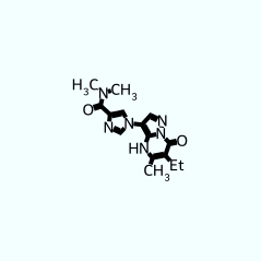 CCc1c(C)[nH]c2c(-n3cnc(C(=O)N(C)C)c3)cnn2c1=O